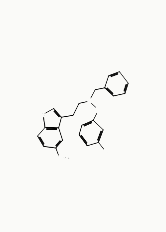 COc1ccc2[nH]cc(CCN(Cc3ccccc3)Oc3cccc(S)c3)c2c1